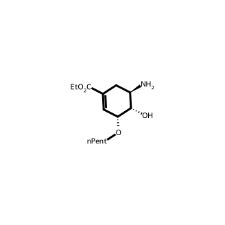 CCCCCO[C@@H]1C=C(C(=O)OCC)C[C@@H](N)[C@@H]1O